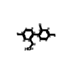 Cc1ccc(-c2ccc(C)cc2CO)c(C)c1